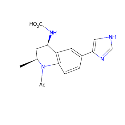 CC(=O)N1c2ccc(-c3c[nH]cn3)cc2[C@H](NC(=O)O)C[C@@H]1C